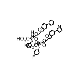 O=C(N[C@H](Cc1ccc(F)cc1)C(=O)O)OCc1cc2cc(-c3cccnc3)ccc2o1.O=C(N[C@H](Cc1ccccc1)C(=O)O)OCC1Cc2cc(-c3ccccc3)ccc2O1